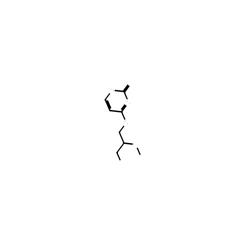 COC(CO)CNc1cc[nH]c(=O)n1